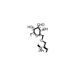 C=[N+](CCC)/C(=C\C)COC[C@H]1O[C@@H](C)[C@H](O)[C@@H](C=O)[C@@H]1O